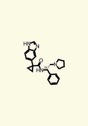 O=C(N[C@H](CN1CCCC1)c1ccccc1)C1(c2ccc3[nH]cnc3c2)CC1